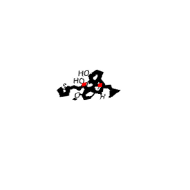 CO[C@]12CC[C@]3(CC1[C@](C)(O)CCc1cccs1)[C@H]1Cc4ccc(O)c5c4[C@@]3(CCN1CC1CC1)C2O5